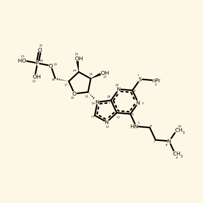 CCCSc1nc(NCCN(C)C)c2ncn([C@@H]3O[C@H](COP(=O)(O)O)[C@@H](O)[C@H]3O)c2n1